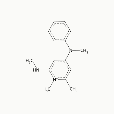 CNc1cc(N(C)c2ccccc2)cc(C)[n+]1C